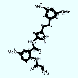 C=CC(=O)Nc1ccc(OC)cc1C(=O)Nc1cc(CCc2cc(OC)cc(OC)c2)[nH]n1